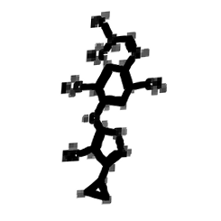 Cc1cc(Oc2snc(C3CC3)c2C#N)c(C)cc1/N=C\N(C)C(C)C